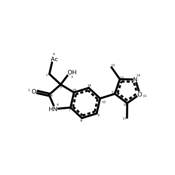 CC(=O)CC1(O)C(=O)Nc2ccc(-c3c(C)noc3C)cc21